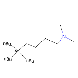 CCC[CH2][Sn]([CH2]CCC)([CH2]CCC)[CH2]CCCN(C)C